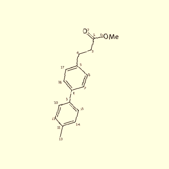 COC(=O)CCc1ccc(-c2ccc(C)cc2)cc1